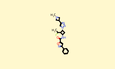 CC(F)C1[C@H](n2cc(C3CN(C)C3)nn2)C[C@H]1NC(=O)c1cc(-c2ccccc2)no1